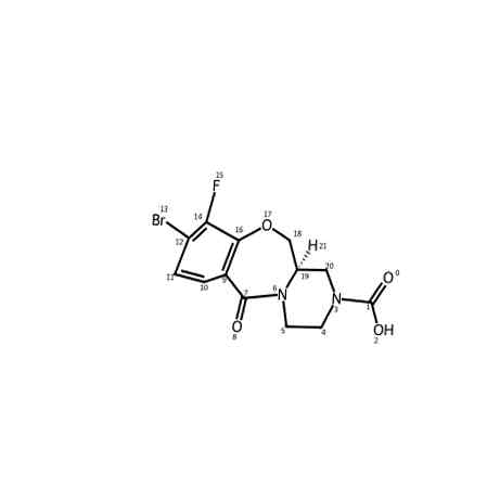 O=C(O)N1CCN2C(=O)c3ccc(Br)c(F)c3OC[C@H]2C1